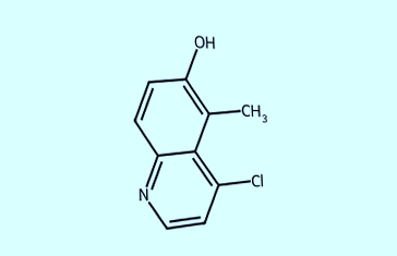 Cc1c(O)ccc2nccc(Cl)c12